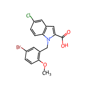 COc1ccc(Br)cc1Cn1c(C(=O)O)cc2cc(Cl)ccc21